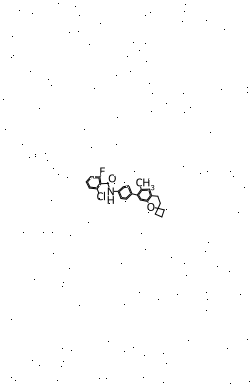 Cc1cc2c(cc1-c1ccc(NC(=O)c3c(F)cccc3Cl)cc1)OC1(CCC1)CC2